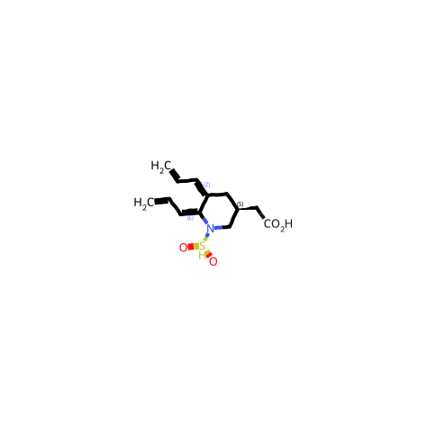 C=C/C=C1/C[C@@H](CC(=O)O)CN([SH](=O)=O)/C1=C/C=C